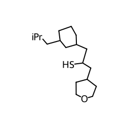 CC(C)CC1CCCC(CC(S)CC2CCOCC2)C1